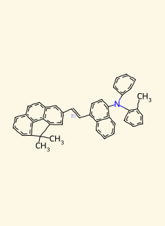 Cc1ccccc1N(c1ccccc1)c1ccc(/C=C/c2cc3c4c(ccc5cccc(c54)C3(C)C)c2)c2ccccc12